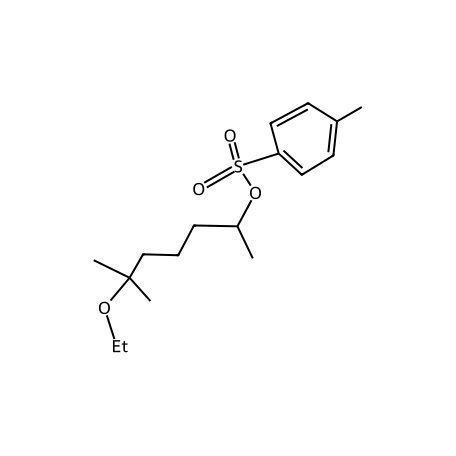 CCOC(C)(C)CCCC(C)OS(=O)(=O)c1ccc(C)cc1